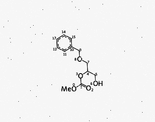 COC(=O)OC(CO)COCc1ccccc1